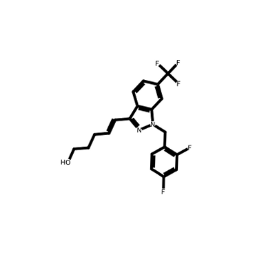 OCCCC=Cc1nn(Cc2ccc(F)cc2F)c2cc(C(F)(F)F)ccc12